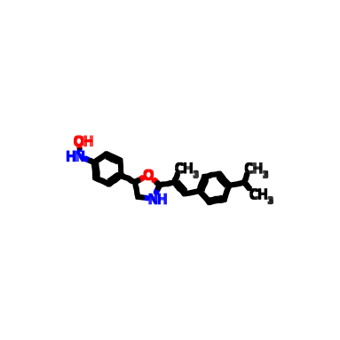 C/C(=C\c1ccc(C(C)C)cc1)C1NCC(c2ccc(NO)cc2)O1